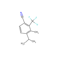 Cc1c(C(C)C)ccc(C#N)c1C(F)(F)F